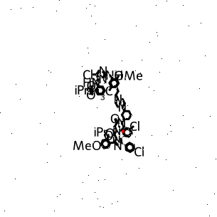 COc1ccc(C2=N[C@@H](c3ccc(Cl)cc3)[C@@H](c3ccc(Cl)cc3)N2C(=O)N2CCN(C3CCCC(N4CCN(CCc5cc(OC)c(Nc6ncc(Cl)c(Nc7ccccc7S(=O)(=O)C(C)C)n6)cc5C)CC4)C3)C(=O)C2)c(OC(C)C)c1